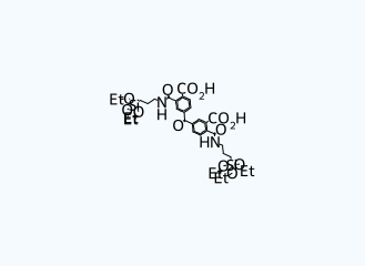 CCO[Si](CCCNC(=O)c1ccc(C(=O)c2ccc(C(=O)O)c(C(=O)NCCC[Si](OCC)(OCC)OCC)c2)cc1C(=O)O)(OCC)OCC